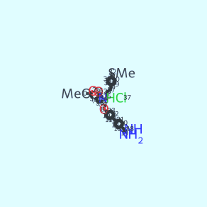 COC(=O)C[C@@H]1C[C@@H](COc2ccc(-c3ccc(C(=N)N)cc3)cc2)N(CCCc2ccc(SC)cc2)C1=O.Cl